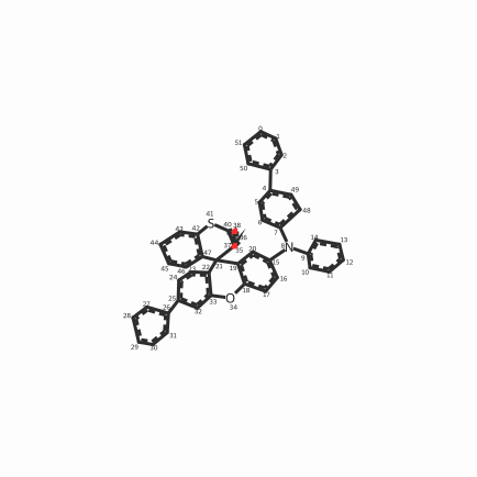 c1ccc(-c2ccc(N(c3ccccc3)c3ccc4c(c3)C3(c5ccc(-c6ccccc6)cc5O4)c4ccccc4Sc4ccccc43)cc2)cc1